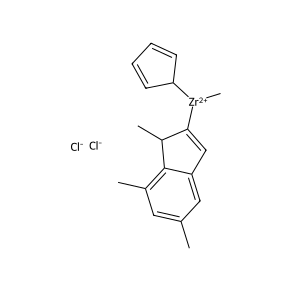 Cc1cc(C)c2c(c1)C=[C]([Zr+2]([CH3])[CH]1C=CC=C1)C2C.[Cl-].[Cl-]